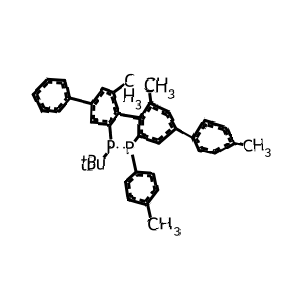 Cc1ccc([P]c2cc(-c3ccc(C)cc3)cc(C)c2-c2c(C)cc(-c3ccccc3)cc2[P]C(C)(C)C)cc1